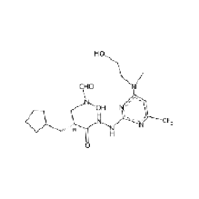 CN(CCO)c1cc(C(F)(F)F)nc(NNC(=O)[C@H](CC2CCCC2)CN(O)C=O)n1